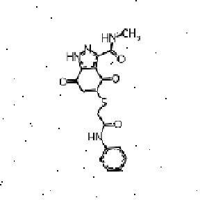 CNC(=O)c1n[nH]c2c1C(=O)C(SCC(=O)Nc1ccccc1)=CC2=O